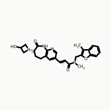 Cc1c(CN(C)C(=O)/C=C/c2cnc3c(c2)CC[C@H](N2CC(O)C2)C(=O)N3)oc2ccccc12